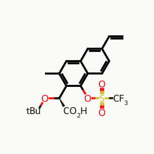 C=Cc1ccc2c(OS(=O)(=O)C(F)(F)F)c([C@H](OC(C)(C)C)C(=O)O)c(C)cc2c1